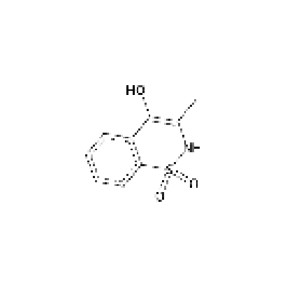 CC1=C(O)c2ccccc2S(=O)(=O)N1